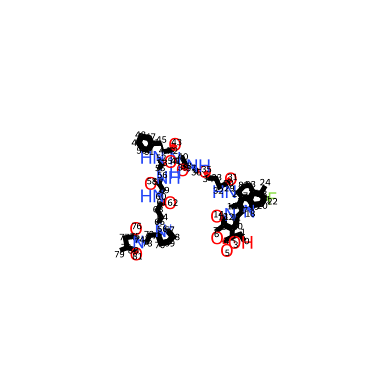 CC[C@@]1(O)C(=O)OCc2c1cc1n(c2=O)Cc2c-1nc1cc(F)c(C)c3c1c2[C@@H](NC(=O)CCCOCNC(=O)CNC(=O)[C@H](Cc1ccccc1)NC(=O)CNC(=O)CNC(=O)CCC[n+]1ccccc1CCN1C(=O)CC(C)C1=O)CC3